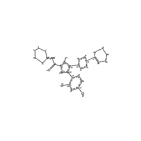 Cc1c(C(=O)NN2CCCCC2)nn(-c2ccc(Cl)cc2Cl)c1-c1ccc(C2=CCCCC2)cc1